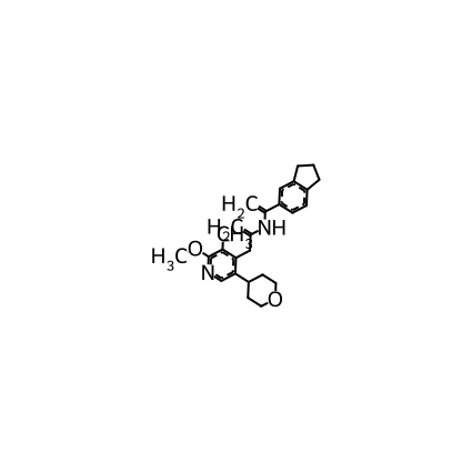 C=C(Cc1c(C2CCOCC2)cnc(OC)c1C)NC(=C)c1ccc2c(c1)CCC2